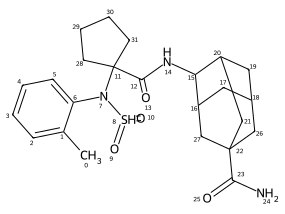 Cc1ccccc1N([SH](=O)=O)C1(C(=O)NC2C3CC4CC2CC(C(N)=O)(C4)C3)CCCC1